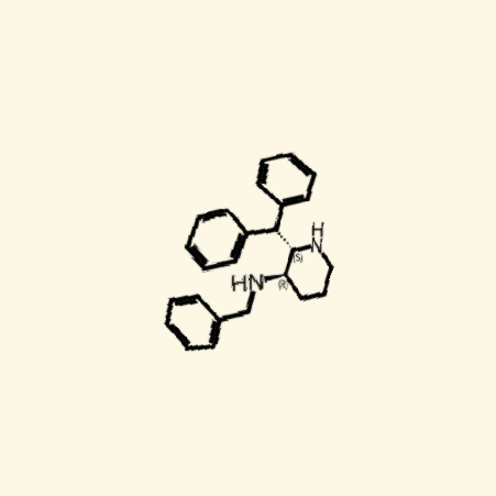 c1ccc(CN[C@@H]2CCCN[C@H]2C(c2ccccc2)c2ccccc2)cc1